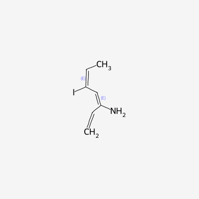 C=C/C(N)=C\C(I)=C/C